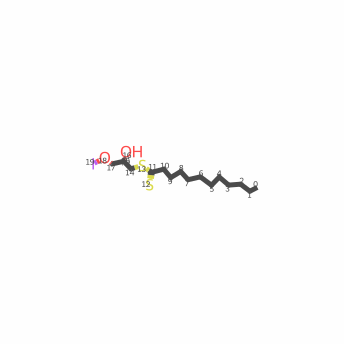 CCCCCCCCCCCC(=S)SC[C@H](O)COI